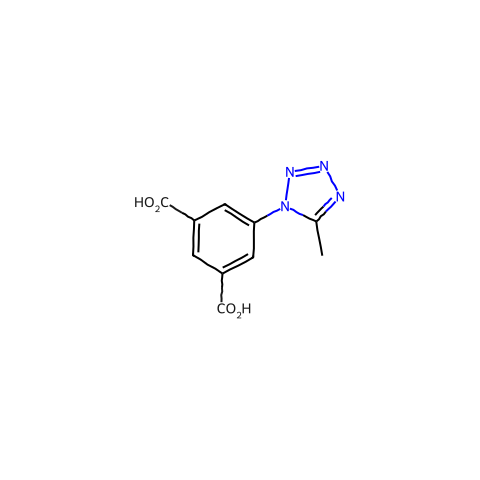 Cc1nnnn1-c1cc(C(=O)O)cc(C(=O)O)c1